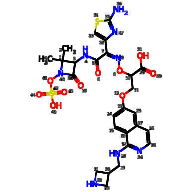 CC1(C)C(NC(=O)C(=NOC(COc2ccc3c(NCC4CNC4)nccc3c2)C(=O)O)c2csc(N)n2)C(=O)N1OS(=O)(=O)O